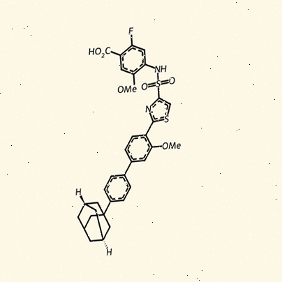 COc1cc(C(=O)O)c(F)cc1NS(=O)(=O)c1csc(-c2ccc(-c3ccc(C45CC6C[C@H](C4)C[C@H](C6)C5)cc3)cc2OC)n1